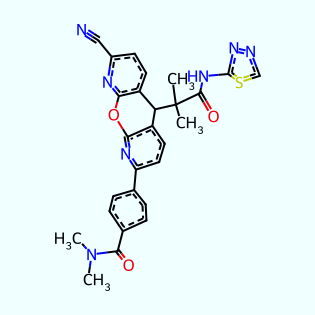 CN(C)C(=O)c1ccc(-c2ccc3c(n2)Oc2nc(C#N)ccc2C3C(C)(C)C(=O)Nc2nncs2)cc1